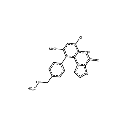 COc1cc(Cl)c2[nH]c(=O)c3sccc3c2c1-c1ccc(CNC(=O)O)cc1